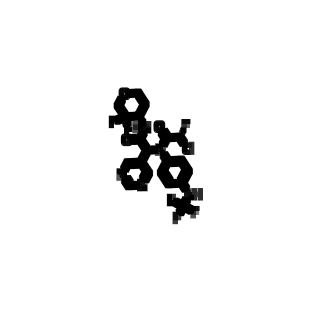 O=C(N[C@@H]1CCOCC1(F)F)C(c1cncnc1)N(C(=O)[C@H](F)Cl)c1ccc(NC(F)(F)F)cc1